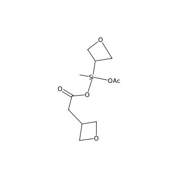 CC(=O)O[Si](C)(OC(=O)CC1COC1)C1COC1